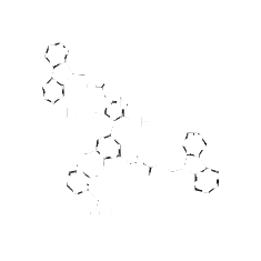 Cc1nn(C(=O)OCC2c3ccccc3-c3ccccc32)c(C)c1-c1cc(Cl)c(Sc2ncccc2CO)c(CNC(=O)OCC2c3ccccc3-c3ccccc32)c1